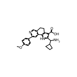 COc1ccc(-c2cc3c(cn2)CCc2c-3[nH]c(C(N)C3CCC3)c2C(=O)O)cc1